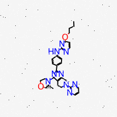 CCCCOc1ccnc(Nc2ccc(-c3nc4c(c(N5CCOC[C@@H]5C)n3)CCN(c3ncccn3)C4)cc2)n1